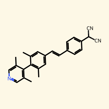 Cc1cncc(C)c1-c1c(C)cc(C=Cc2ccc(C(C#N)C#N)cc2)cc1C